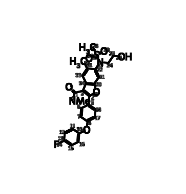 CNC(=O)c1c(-c2ccc(Oc3ccc(F)cc3)cc2)oc2cc(N(CCO)S(C)(=O)=O)c(C)cc12